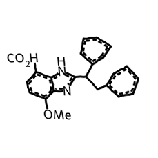 COc1ccc(C(=O)O)c2[nH]c(C(Cc3ccccc3)c3ccccc3)nc12